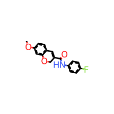 COc1ccc2c(c1)OCC(C(=O)Nc1ccc(F)cc1)=C2